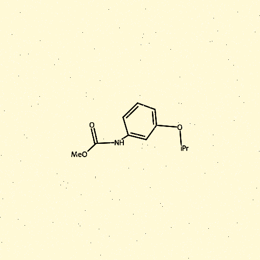 [CH2]OC(=O)Nc1cccc(OC(C)C)c1